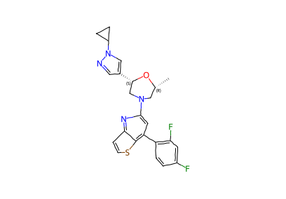 C[C@@H]1CN(c2cc(-c3ccc(F)cc3F)c3sccc3n2)C[C@H](c2cnn(C3CC3)c2)O1